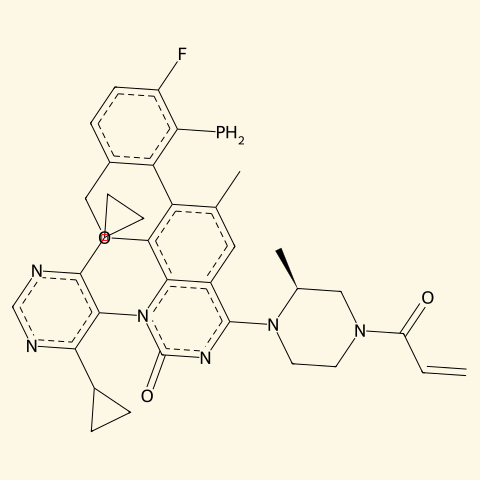 C=CC(=O)N1CCN(c2nc(=O)n(-c3c(C4CC4)ncnc3C3CC3)c3c4c(c(C)cc23)-c2c(ccc(F)c2P)CO4)[C@@H](C)C1